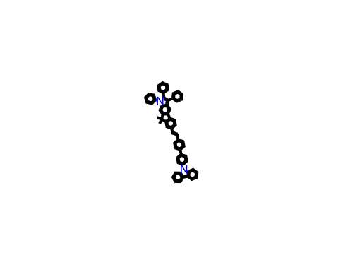 CC1(C)c2cc(/C=C/c3ccc(-c4ccc(-n5c6ccccc6c6ccccc65)cc4)cc3)ccc2-c2cc3c(-c4ccccc4)c(-c4ccccc4)n(-c4ccccc4)c3cc21